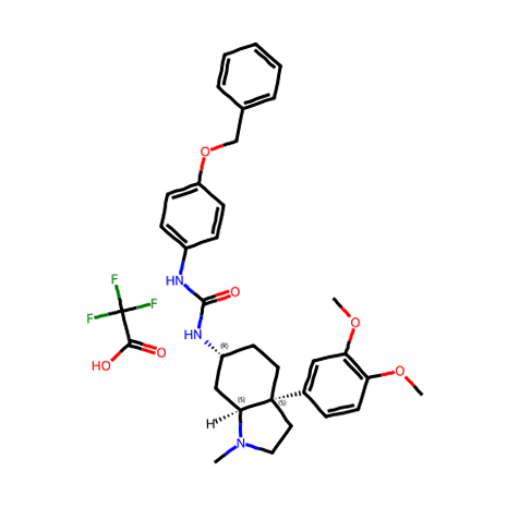 COc1ccc([C@@]23CC[C@@H](NC(=O)Nc4ccc(OCc5ccccc5)cc4)C[C@@H]2N(C)CC3)cc1OC.O=C(O)C(F)(F)F